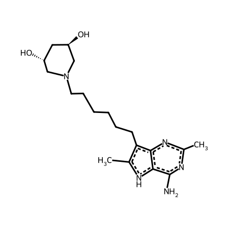 Cc1nc(N)c2[nH]c(C)c(CCCCCCN3C[C@H](O)C[C@@H](O)C3)c2n1